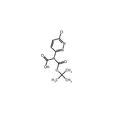 CC(C)(C)OC(=O)N(C(=O)O)c1ccc(Cl)nn1